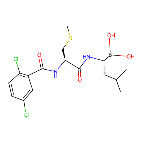 CSC[C@H](NC(=O)c1cc(Cl)ccc1Cl)C(=O)N[C@@H](CC(C)C)B(O)O